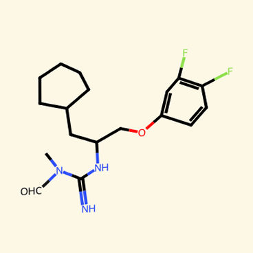 CN(C=O)C(=N)NC(COc1ccc(F)c(F)c1)CC1CCCCC1